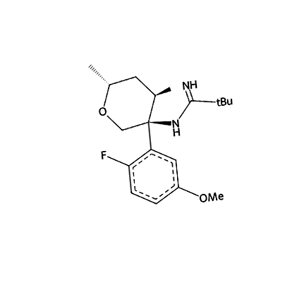 COc1ccc(F)c([C@]2(NC(=N)C(C)(C)C)CO[C@H](C)C[C@H]2C)c1